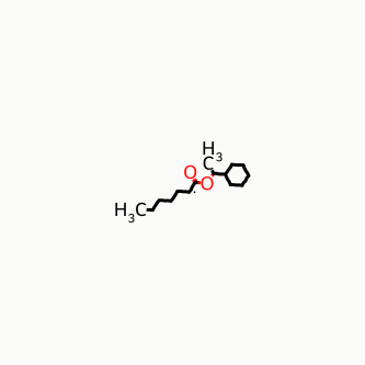 CCCCC[CH]C(=O)OC(C)C1CCCCC1